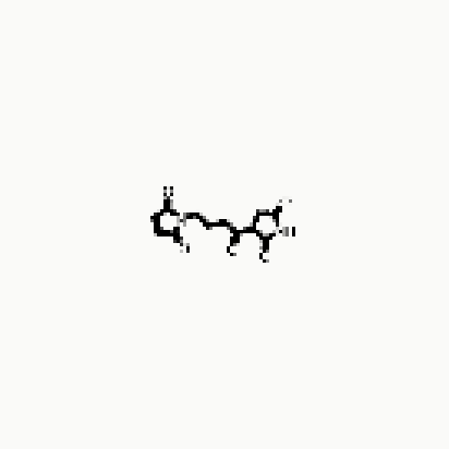 O=C1CC(C(=O)CCCN2C(=O)C=CC2=O)C(=O)N1